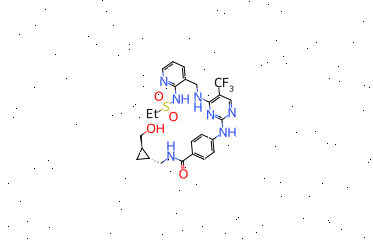 CCS(=O)(=O)Nc1ncccc1CNc1nc(Nc2ccc(C(=O)NC[C@@H]3C[C@H]3CO)cc2)ncc1C(F)(F)F